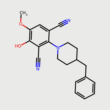 COc1cc(C#N)c(N2CCC(Cc3ccccc3)CC2)c(C#N)c1O